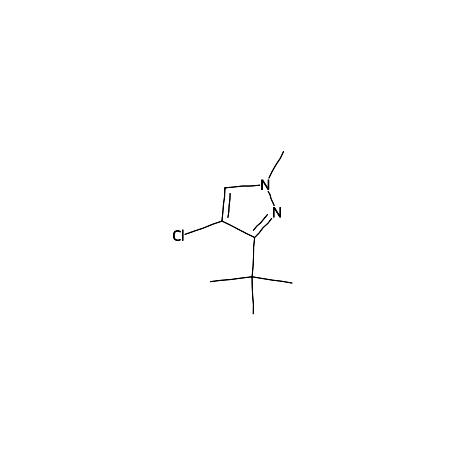 Cn1cc(Cl)c(C(C)(C)C)n1